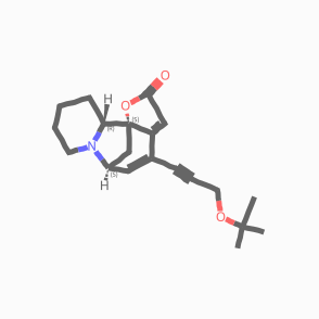 CC(C)(C)OCC#CC1=C[C@@H]2C[C@@]3(OC(=O)C=C13)[C@H]1CCCCN21